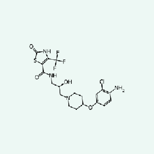 Nc1ccc(OC2CCN(C[C@H](O)CNC(=O)c3sc(=O)[nH]c3C(F)(F)F)CC2)cc1Cl